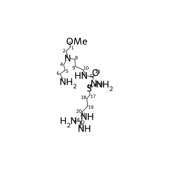 COCCN(CCCN)CCCNC(=O)N(N)SCCCCNC(=N)N